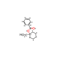 O=C(OC1(C(=O)O)CCCCC1)c1ccccc1